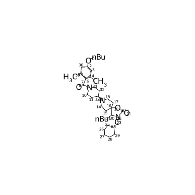 CCCCOc1cc(C)c(C(=O)N2CCC(N3CCC4(CC3)OC(=O)N(CC3CCCCC3)C4CCCC)CC2)c(C)c1